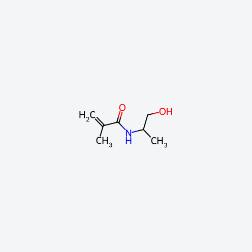 C=C(C)C(=O)NC(C)CO